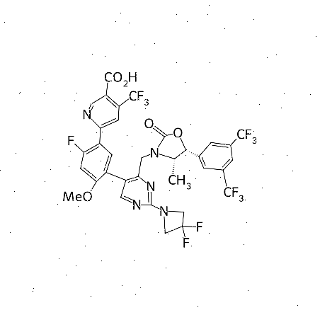 COc1cc(F)c(-c2cc(C(F)(F)F)c(C(=O)O)cn2)cc1-c1cnc(N2CC(F)(F)C2)nc1CN1C(=O)O[C@H](c2cc(C(F)(F)F)cc(C(F)(F)F)c2)[C@@H]1C